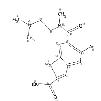 CC(=O)c1cc2cc(C(=O)C(C)(C)C)[nH]c2cc1C(=O)N(C)CCN(C)C